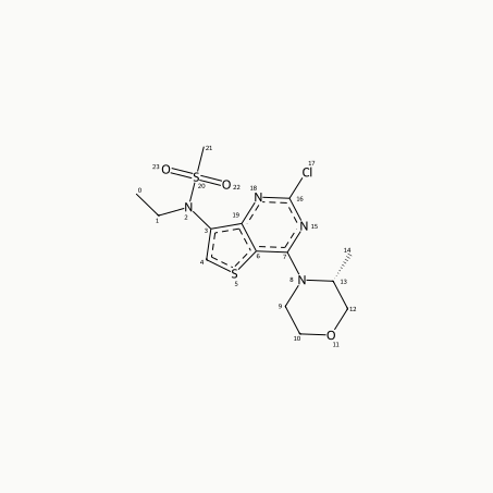 CCN(c1csc2c(N3CCOC[C@H]3C)nc(Cl)nc12)S(C)(=O)=O